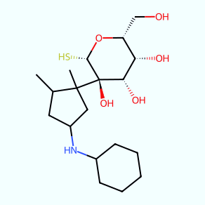 CC1CC(NC2CCCCC2)CC1(C)[C@]1(O)[C@H](S)O[C@H](CO)[C@H](O)[C@@H]1O